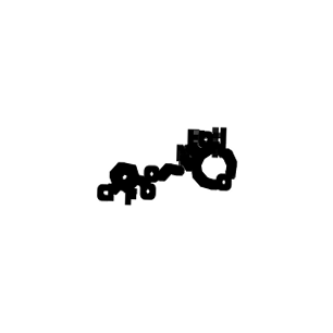 CCc1nn(CCCOC(=O)c2cccc(Cl)c2F)c2c1C(=O)NCCCOCCC2